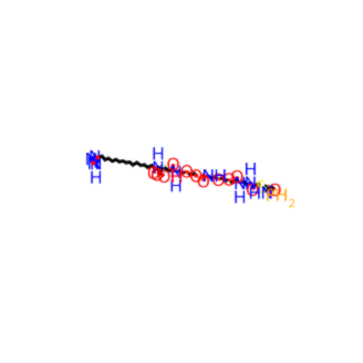 O=C[C@H](CSCC(=O)NCCNC(=O)COCCOCCNC(=O)COCCOCCNC(=O)CC[C@H](NC(=O)CCCCCCCCCCCCCCCc1nnn[nH]1)C(=O)O)NP